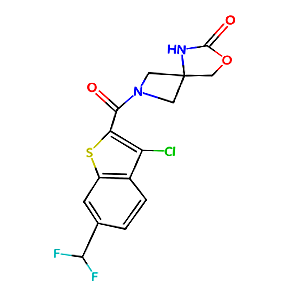 O=C1NC2(CO1)CN(C(=O)c1sc3cc(C(F)F)ccc3c1Cl)C2